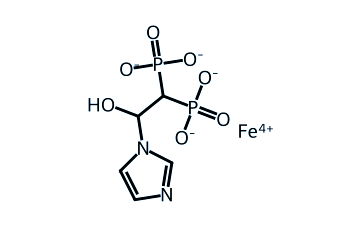 O=P([O-])([O-])C(C(O)n1ccnc1)P(=O)([O-])[O-].[Fe+4]